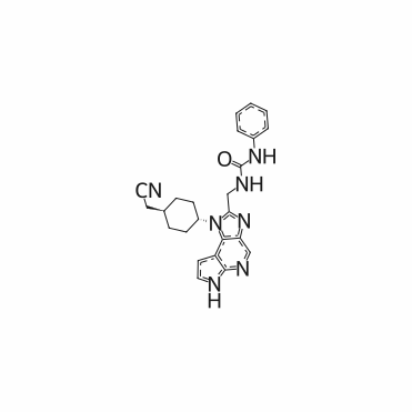 N#CC[C@H]1CC[C@H](n2c(CNC(=O)Nc3ccccc3)nc3cnc4[nH]ccc4c32)CC1